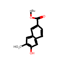 CCCCOC(=O)c1ccc2cc(O)c(C(=O)O)cc2c1